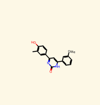 COc1cccc(-c2cc(-c3ccc(O)c(C)c3)nc(=O)[nH]2)c1